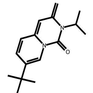 C=C1C=C2C=CC(C(C)(C)C)=CN2C(=O)N1C(C)C